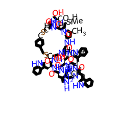 C=C/C=c1/c(C[C@H](NC(=O)[C@H](CCC(=O)O)NC(=O)[C@H](Cc2c[nH]c3ccccc23)NC(=O)C(N)Cc2c[nH]c3ccccc23)C(=O)N[C@@H](Cc2c[nH]c3ccccc23)C(=O)NC2CSCc3ccc(cc3)CSC[C@@H](C(=O)N[C@@H](CO)C(=O)O)NC(=O)[C@H](CCSC)N3CC(C)CC(NC(=O)[C@H](CO)NC2=O)C3=O)c[nH]/c1=C/C